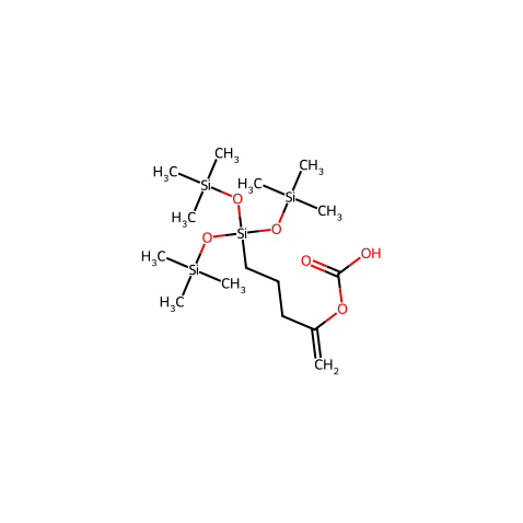 C=C(CCC[Si](O[Si](C)(C)C)(O[Si](C)(C)C)O[Si](C)(C)C)OC(=O)O